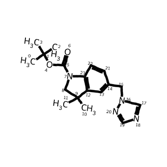 CC(C)(C)OC(=O)N1CC(C)(C)c2cc(Cn3cncn3)ccc21